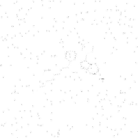 COCC1CCCN(CCN2CCn3c(c(C4CCCCC4)c4ccc(C(=O)O)cc43)-c3ccccc32)C1